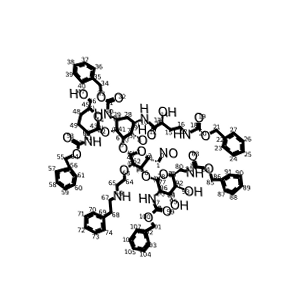 O=NC[C@H]1O[C@@H](O[C@@H]2[C@@H](O)[C@H](NC(=O)[C@@H](O)CCNC(=O)OCc3ccccc3)C[C@H](NC(=O)OCc3ccccc3)[C@H]2O[C@H]2O[C@H](CO)CC[C@H]2NC(=O)OCc2ccccc2)[C@H](OCCNCCc2ccccc2)[C@@H]1O[C@H]1O[C@@H](CNC(=O)OCc2ccccc2)[C@@H](O)[C@H](O)[C@H]1NC(=O)OCc1ccccc1